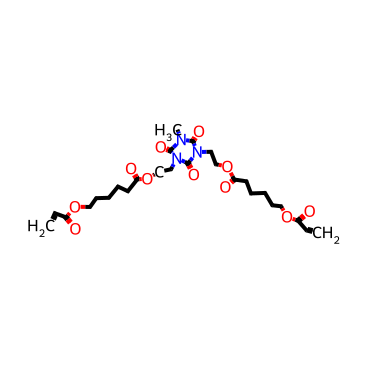 C=CC(=O)OCCCCCC(=O)OCCn1c(=O)n(C)c(=O)n(CCOC(=O)CCCCCOC(=O)C=C)c1=O